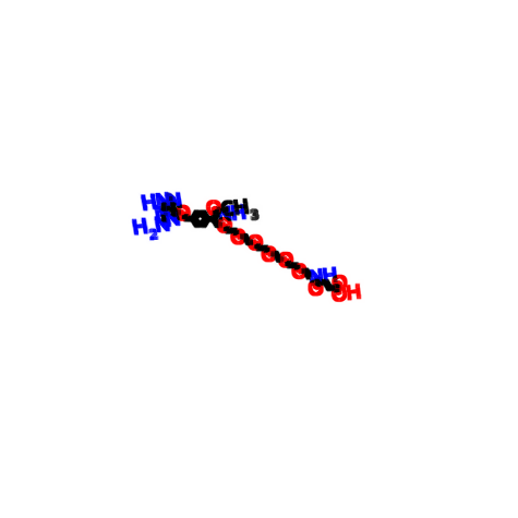 CNC(=O)C(COCCOCCOCCOCCOCCOCCNC(=O)CCC(=O)O)c1ccc(COc2nc(N)nc3[nH]cnc23)cc1